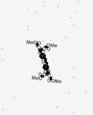 COC(=O)COCC1(COCC(=O)OC)Oc2ccc(CC(=O)Cc3ccc4c(c3)OC(COCC(=O)OC)(COCC(=O)OC)O4)cc2O1